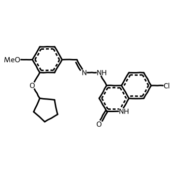 COc1ccc(/C=N/Nc2cc(=O)[nH]c3cc(Cl)ccc23)cc1OC1CCCC1